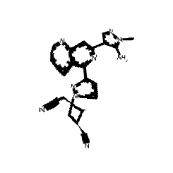 Cn1ncc(-c2cc3ncccc3c(-c3ccn([C@]4(CC#N)C[C@@H](C#N)C4)n3)n2)c1N